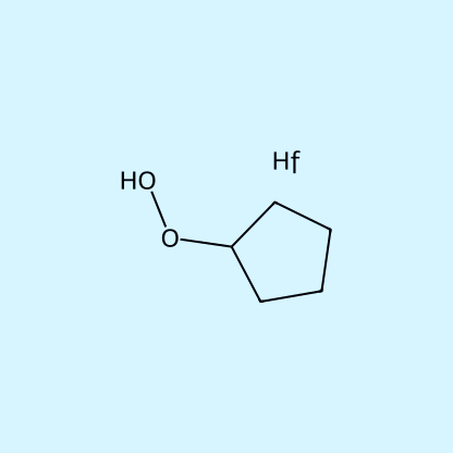 OOC1CCCC1.[Hf]